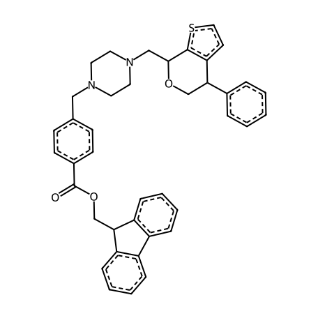 O=C(OCC1c2ccccc2-c2ccccc21)c1ccc(CN2CCN(CC3OCC(c4ccccc4)c4ccsc43)CC2)cc1